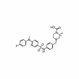 C[C@H]1CN(Cc2ccc(NS(=O)(=O)c3ccc(N(C)c4ccc(F)cc4)nc3)cc2)CCN1C(=O)O